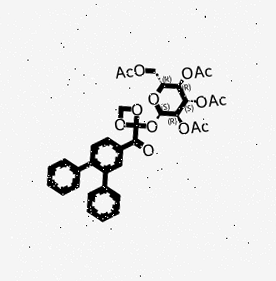 CC(=O)OC[C@H]1O[C@@H](OC2(C(=O)c3ccc(-c4ccccc4)c(-c4ccccc4)c3)OCO2)[C@H](OC(C)=O)[C@@H](OC(C)=O)[C@@H]1OC(C)=O